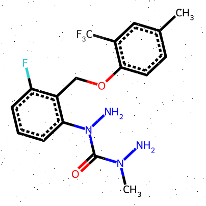 Cc1ccc(OCc2c(F)cccc2N(N)C(=O)N(C)N)c(C(F)(F)F)c1